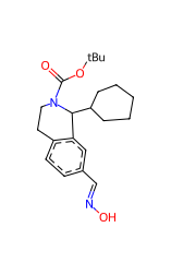 CC(C)(C)OC(=O)N1CCc2ccc(C=NO)cc2C1C1CCCCC1